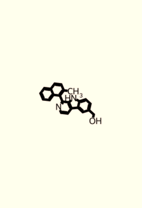 Cc1ccc2ccccc2c1-c1nccc2c1[nH]c1ccc(CO)cc12